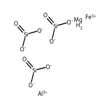 O=[Si]([O-])[O-].O=[Si]([O-])[O-].O=[Si]([O-])[O-].[Al+3].[Fe+3].[MgH2]